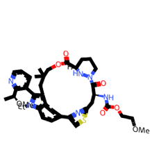 CCn1c(-c2cccnc2[C@H](C)OC)c2c3cc(ccc31)-c1csc(n1)C[C@H](NC(=O)OCCOC)C(=O)N1CCC[C@H](N1)C(=O)OCC(C)(C)C2